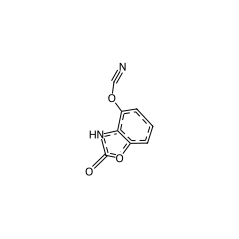 N#COc1cccc2oc(=O)[nH]c12